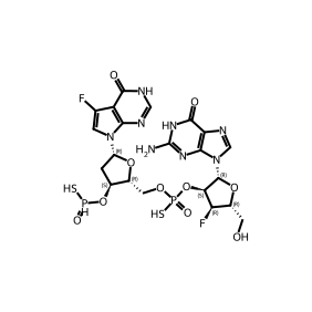 Nc1nc2c(ncn2[C@@H]2O[C@H](CO)[C@@H](F)[C@H]2OP(=O)(S)OC[C@H]2O[C@@H](n3cc(F)c4c(=O)[nH]cnc43)C[C@@H]2O[PH](=O)S)c(=O)[nH]1